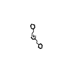 c1ccc(CCc2ccn(CCc3ccccc3)n2)cc1